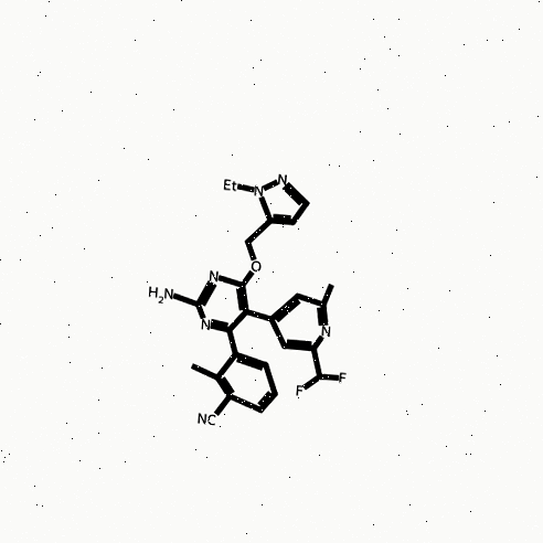 CCn1nccc1COc1nc(N)nc(-c2cccc(C#N)c2C)c1-c1cc(C)nc(C(F)F)c1